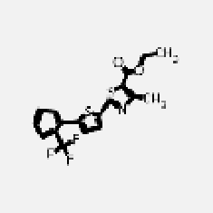 CCOC(=O)c1sc(-c2ccc(-c3ccccc3C(F)(F)F)s2)nc1C